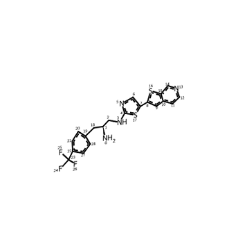 N[C@H](CNc1ncc(-c2cc3ccncc3s2)s1)Cc1ccc(C(F)(F)F)cc1